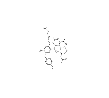 CCc1ccc(Cc2cc([C@@H]3O[C@H](COC(C)=O)[C@@H](OC(C)=O)[C@H](OC(C)=O)[C@H]3OC(C)=O)c(CCOCCO)cc2Cl)cc1